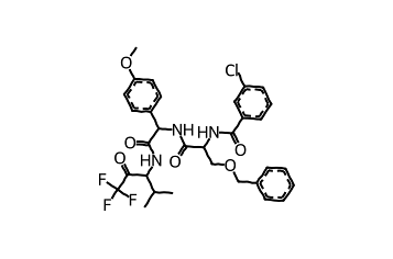 COc1ccc(C(NC(=O)C(COCc2ccccc2)NC(=O)c2cccc(Cl)c2)C(=O)NC(C(=O)C(F)(F)F)C(C)C)cc1